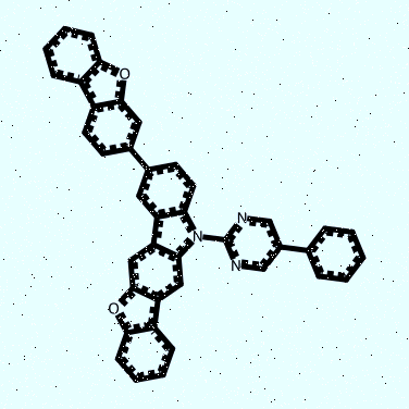 c1ccc(-c2cnc(-n3c4ccc(-c5ccc6c(c5)oc5ccccc56)cc4c4cc5oc6ccccc6c5cc43)nc2)cc1